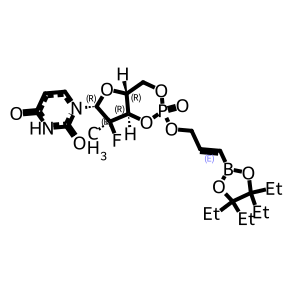 CCC1(CC)OB(/C=C/COP2(=O)OC[C@H]3O[C@@H](n4ccc(=O)[nH]c4=O)[C@](C)(F)[C@@H]3O2)OC1(CC)CC